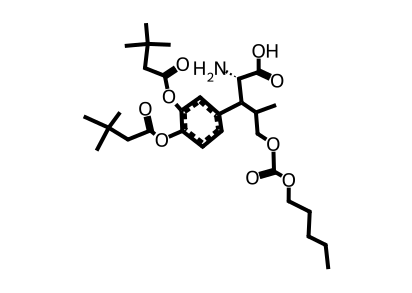 CCCCCOC(=O)OCC(C)C(c1ccc(OC(=O)CC(C)(C)C)c(OC(=O)CC(C)(C)C)c1)[C@H](N)C(=O)O